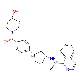 C[C@@H](NC1CC[C@H](c2ccc(C(=O)N3CCC(O)CC3)cc2)C1)c1nccc2ccccc12